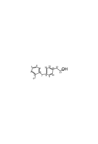 Cc1ccccc1Cc1ccc(CCO)cc1